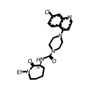 CCN1CCCC[C@H](NC(=O)N2CCN(c3ccnc4cc(Cl)ccc34)CC2)C1=O